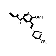 C=CC(=O)Nc1cnc(OC)c(/C=C/[C@H]2CC[C@H](C(F)(F)F)OC2)c1